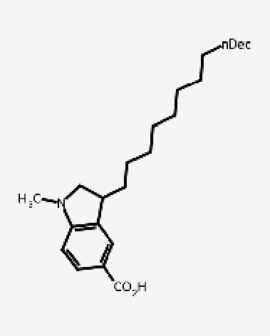 CCCCCCCCCCCCCCCCCCC1CN(C)c2ccc(C(=O)O)cc21